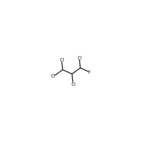 FC(Cl)C(Cl)C(Cl)Cl